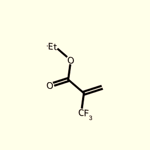 C=C(C(=O)O[CH]C)C(F)(F)F